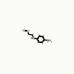 Nc1ccc(NCCN=O)cc1